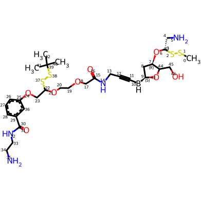 CSS[C@@H](CN)O[C@@H]1C[C@H](BC#CCNC(=O)COCCOC(COc2cccc(C(=O)NCCN)c2)SSC(C)(C)C)OC1CO